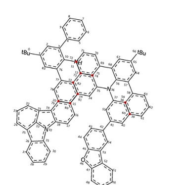 CC(C)(C)c1cc(-c2ccccc2)c(Nc2cc(-c3ccc4c(c3)c3cccc5c6ccccc6n4c53)cc(N(c3cccc(-c4ccc5oc6ccccc6c5c4)c3)c3c(-c4ccccc4)cc(C(C)(C)C)cc3-c3ccccc3)c2)c(-c2ccccc2)c1